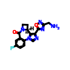 NCc1noc(-c2ncn3c2[C@@H]2CCN2C(=O)c2cc(F)ccc2-3)n1